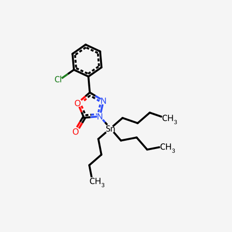 CCC[CH2][Sn]([CH2]CCC)([CH2]CCC)[n]1nc(-c2ccccc2Cl)oc1=O